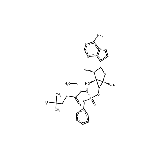 CC[C@H](N[P@](=O)(Oc1ccccc1)OC1[C@@]2(C)O[C@@H](c3ccc4c(N)ncnn34)[C@H](O)[C@@]12O)C(=O)OCC(C)(C)C